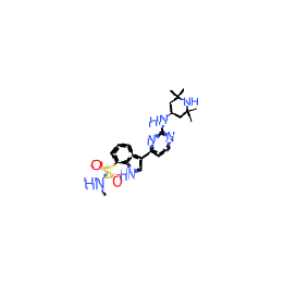 CNS(=O)(=O)c1cccc2c(-c3ccnc(NC4CC(C)(C)NC(C)(C)C4)n3)c[nH]c12